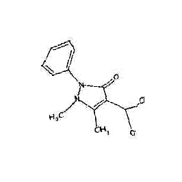 Cc1c(C(Cl)Cl)c(=O)n(-c2ccccc2)n1C